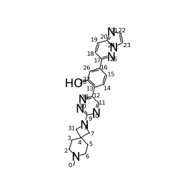 CN1CCC2(CC1)CN(c1ncc(-c3ccc(-c4ccc5nccn5n4)cc3O)nn1)C2